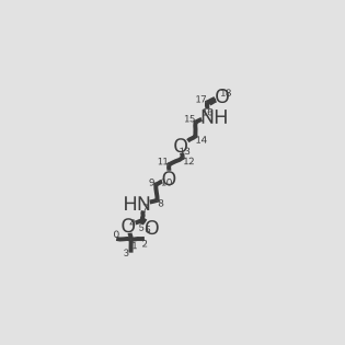 CC(C)(C)OC(=O)NCCOCCOCCNC=O